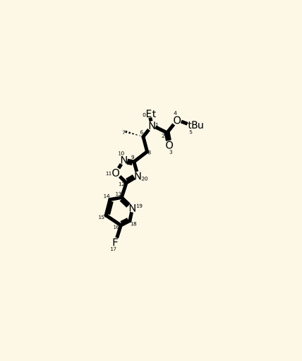 CCN(C(=O)OC(C)(C)C)[C@@H](C)Cc1noc(-c2ccc(F)cn2)n1